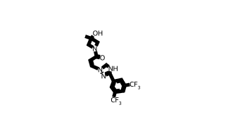 CC1(O)CN(C(=O)/C=C\N2CNC(c3cc(C(F)(F)F)cc(C(F)(F)F)c3)=N2)C1